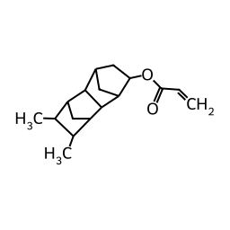 C=CC(=O)OC1CC2CC1C1C3CC(C(C)C3C)C21